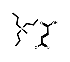 CCC[N+](C)(CCC)CCC.O=C([O-])/C=C/C(=O)O